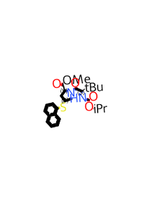 COC(=O)[C@@H]1C[C@@H](Sc2cccc3ccccc23)CN1C(=O)[C@@H](NC(=O)OC(C)C)C(C)(C)C